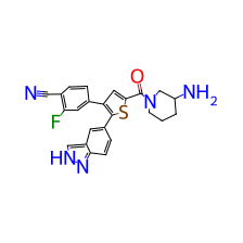 N#Cc1ccc(-c2cc(C(=O)N3CCCC(N)C3)sc2-c2ccc3n[nH]cc3c2)cc1F